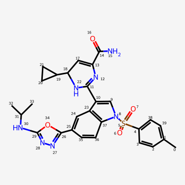 Cc1ccc(S(=O)(=O)n2cc(C3=NC(C(N)=O)=CC(C4CC4)N3)c3cc(-c4nnc(NC(C)C)o4)ccc32)cc1